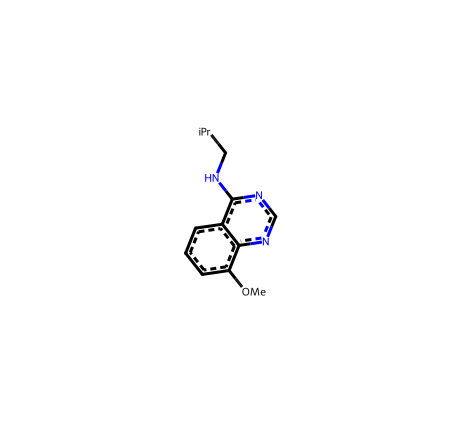 COc1cccc2c(NCC(C)C)ncnc12